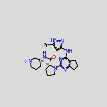 CC(C)c1cc(Nc2nc(N3CCC[C@@H]3C(=O)N[C@@H]3CCCNC3)nc3c2CCC3)n[nH]1